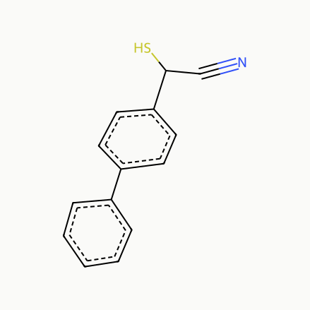 N#CC(S)c1ccc(-c2ccccc2)cc1